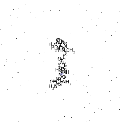 C=C(CCCC(=O)N1CCC2(CC1)CN/C(=N\C(=O)c1nc(Cl)c(N)nc1N)N2)Nc1ncnc(N(C)C)c1N